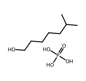 CC(C)CCCCCO.O=P(O)(O)O